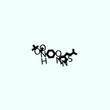 CC(C)c1cc2c(OC3CCC(NC(=O)OC(C)(C)C)CC3)ncnc2s1